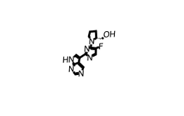 OC[C@H]1CCCN1c1nc(-c2c[nH]c3ncncc23)ncc1F